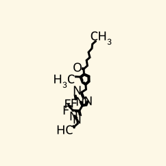 C#CCn1cc(-c2cnc3c(Cc4ccc(C(=O)CCCCCCCC)c(CC)c4)nccn23)c(C(F)(F)F)n1